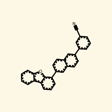 N#Cc1cccc(-c2ccc3cc(-c4cccc5c4oc4ccccc45)ccc3c2)c1